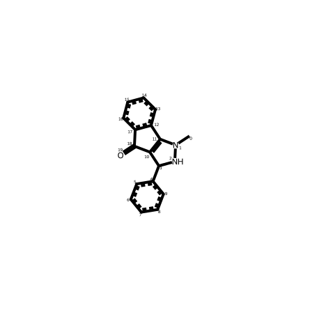 CN1NC(c2ccccc2)C2=C1c1ccccc1C2=O